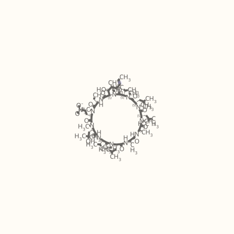 C/C=C/C[C@@H](C)[C@@H](O)[C@H]1C(=O)N[C@@H](CC)C(=O)N(C)[C@@H](CC[N+](=O)[O-])C(=O)N(C)[C@@H](CC(C)(C)O)C(=O)N[C@@H](C(C)C)C(=O)N(C)[C@@H](CC(C)C)C(=O)N[C@@H](C)C(=O)N[C@H](C)C(=O)N(C)[C@@H](CC(C)C)C(=O)N(C)[C@@H](CC(C)C)C(=O)N(C)[C@@H](C(C)C)C(=O)N1C